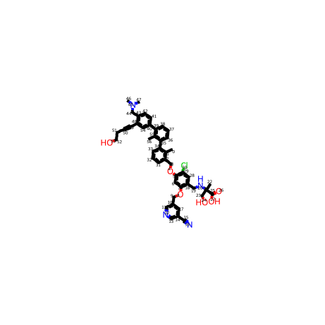 Cc1c(COc2cc(OCc3cncc(C#N)c3)c(CNC(C)(CO)C(=O)O)cc2Cl)cccc1-c1cccc(-c2ccc(CN(C)C)c(C#CCCO)c2)c1C